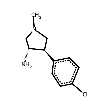 CN1C[C@@H](N)[C@H](c2ccc(Cl)cc2)C1